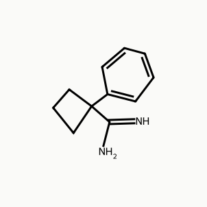 N=C(N)C1(c2ccccc2)CCC1